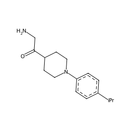 CC(C)c1ccc(N2CCC(C(=O)CN)CC2)cc1